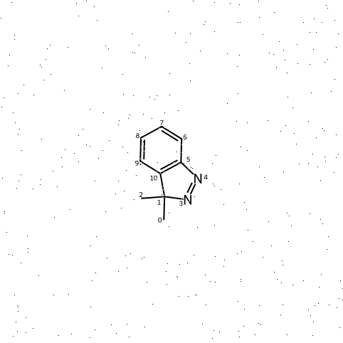 CC1(C)N=Nc2ccc[c]c21